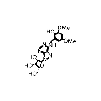 COc1cc(CNc2ncnc3c2ncn3C2O[C@H](CO)[C@@H](O)[C@H]2O)c(O)c(OC)c1